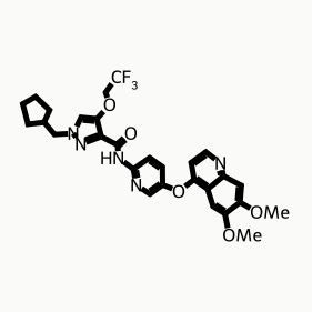 COc1cc2nccc(Oc3ccc(NC(=O)c4nn(CC5CCCC5)cc4OCC(F)(F)F)nc3)c2cc1OC